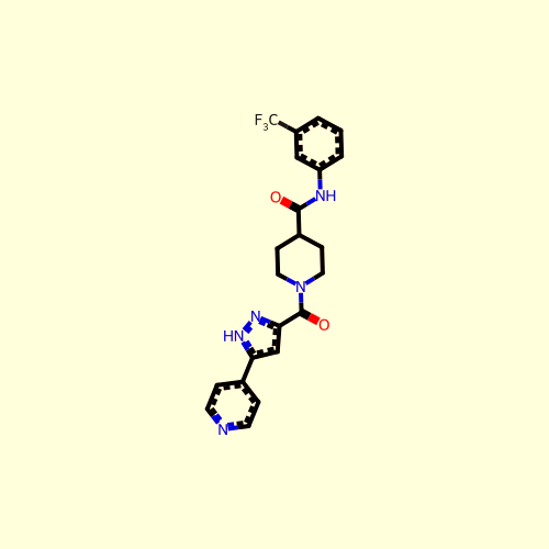 O=C(Nc1cccc(C(F)(F)F)c1)C1CCN(C(=O)c2cc(-c3ccncc3)[nH]n2)CC1